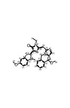 CCn1c(=O)/c(=C2\Sc3cc(OC)ccc3N2C)s/c1=C\c1scc[n+]1Cc1ccccc1C(=O)OC